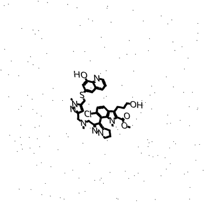 COC(=O)c1c(CCCO)c2ccc(Cl)c(-c3c(CN(C)Cc4cc(CSc5cc(O)c6ncccc6c5)n(C)n4)nn4c3CCC4)c2n1C